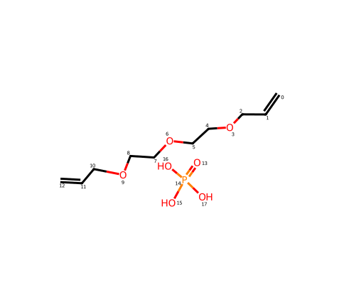 C=CCOCCOCCOCC=C.O=P(O)(O)O